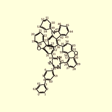 c1ccc(-c2ccc(-c3nc(-c4ccc5c(c4)oc4ccccc45)nc(-c4cccc5oc6ccc(-c7cccc8c7c7ccccc7n8-c7ccccc7)cc6c45)n3)cc2)cc1